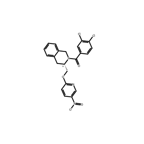 O=C(c1ccc(Cl)c(Cl)c1)N1Cc2ccccc2C[C@H]1COc1ccc([N+](=O)[O-])cn1